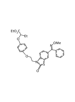 CCOC(=O)C(CC)Oc1ccc(OCCn2c(=O)sc3cc(C(=NOC)c4ccccc4)ccc32)cc1